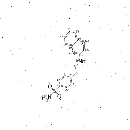 NS(=O)(=O)c1ccc(CCNc2nnc3ccccc3n2)cc1